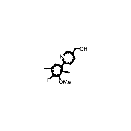 COc1c(F)c(F)cc(-c2ccc(CO)cn2)c1F